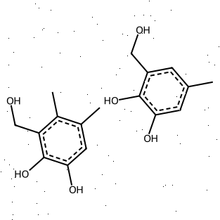 Cc1cc(O)c(O)c(CO)c1.Cc1cc(O)c(O)c(CO)c1C